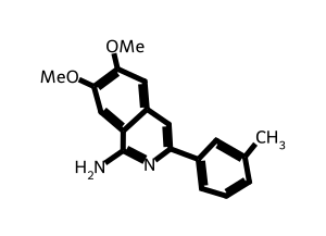 COc1cc2cc(-c3cccc(C)c3)nc(N)c2cc1OC